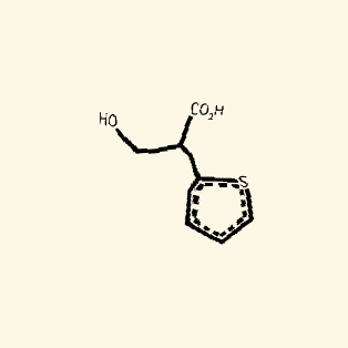 O=C(O)C(CO)c1cccs1